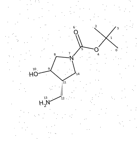 CC(C)(C)OC(=O)N1CC(O)[C@@H](CN)C1